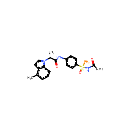 CNC(=O)N[SH](=O)(P)c1ccc(NC(=O)[C@@H](C)n2ccc3c(C)cccc32)cc1